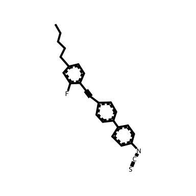 CCCCCc1ccc(C#Cc2ccc(-c3ccc(N=C=S)cc3)cc2)c(F)c1